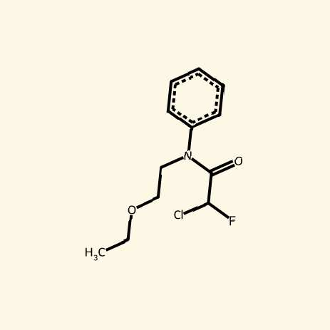 CCOCCN(C(=O)C(F)Cl)c1ccccc1